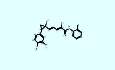 Cc1ccccc1NC(=O)/C(F)=C/C=C/C1(F)CC1c1ccc(Cl)c(Cl)c1